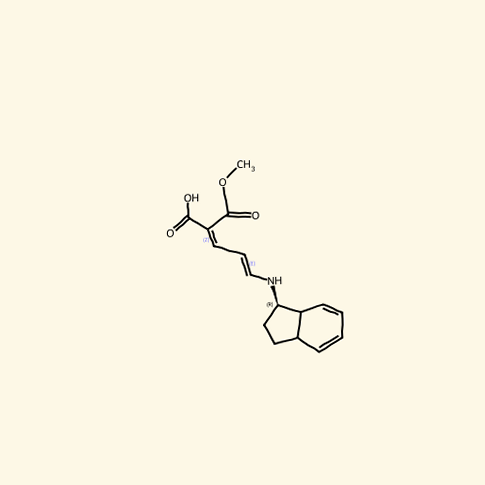 COC(=O)/C(=C\C=C\N[C@@H]1CCC2C=CC=CC21)C(=O)O